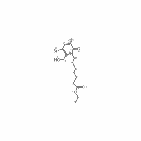 CCOC(=O)CCCCCCn1c(CO)c(Br)cc(Br)c1=O